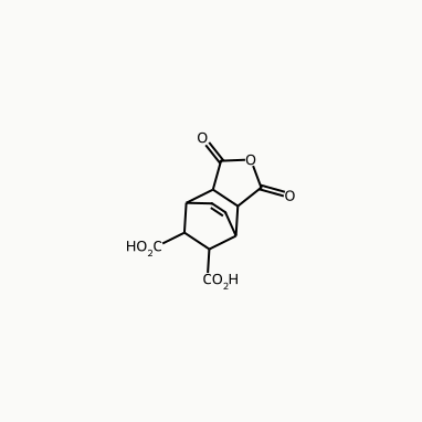 O=C(O)C1C2C=CC(C1C(=O)O)C1C(=O)OC(=O)C21